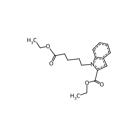 CCOC(=O)CCCCn1c(C(=O)OCC)cc2ccccc21